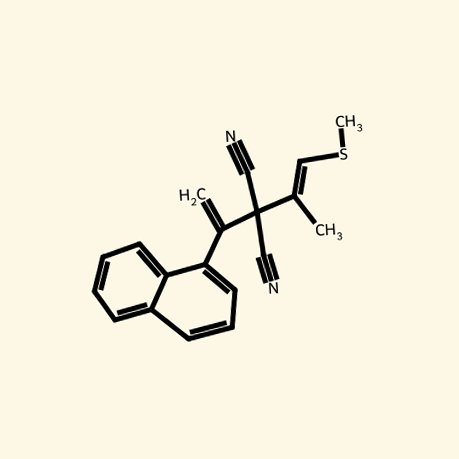 C=C(c1cccc2ccccc12)C(C#N)(C#N)C(C)=CSC